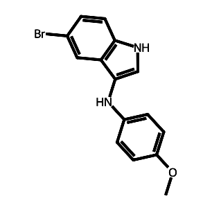 COc1ccc(Nc2c[nH]c3ccc(Br)cc23)cc1